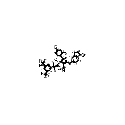 Cc1cc(F)ccc1-c1sc(CN2CCN3C(=O)CCC3C2)c(C#N)c1N(C)C(=O)C(C)(C)c1cc(C(F)(F)F)cc(C(F)(F)F)c1